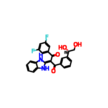 O=C(C(C(=O)c1cccc([C@H](O)CO)c1)=C1Nc2ccccc2N1)c1cc(F)cc(F)c1